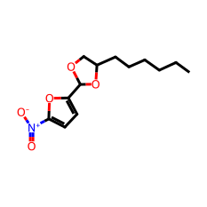 CCCCCCC1COC(c2ccc([N+](=O)[O-])o2)O1